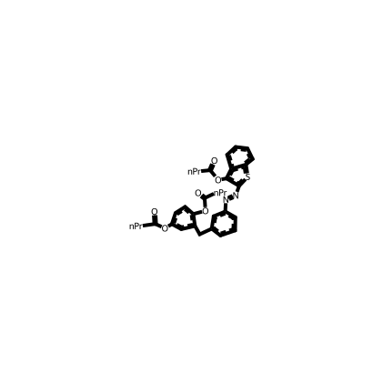 CCCC(=O)Oc1ccc(OC(=O)CCC)c(Cc2cccc(N=Nc3sc4ccccc4c3OC(=O)CCC)c2)c1